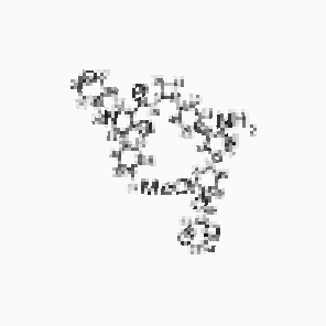 COc1cc(-c2cnc(N)c(-c3ccc(C4CCC4CC(=O)c4cn(CC5CCOCC5)cc(-c5ccc(C)cc5)c4=O)cc3)c2)ccc1OC[C@H]1COCCO1